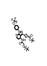 CC(C)(C)OC(=O)N1CC(c2nn(-c3ccc(OC(F)(F)F)cc3)c3nccc(NC(=O)CO[Si](C)(C)C(C)(C)C)c23)C1